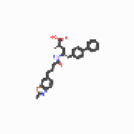 Cc1nc2ccc(CCCC(=O)N[C@H](Cc3ccc(-c4ccccc4)cc3)C[C@@H](C)C(=O)O)cc2s1